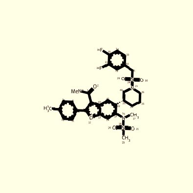 CNC(=O)c1c(-c2ccc(C)cc2)oc2cc(N(C)S(C)(=O)=O)c([C@H]3CCCN(S(=O)(=O)Cc4ccc(F)c(F)c4)C3)cc12